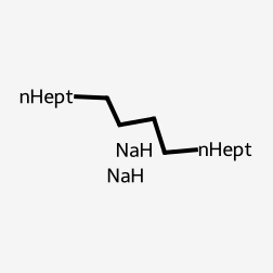 [CH2]CCCCCCCCCCCCCCCCC.[NaH].[NaH]